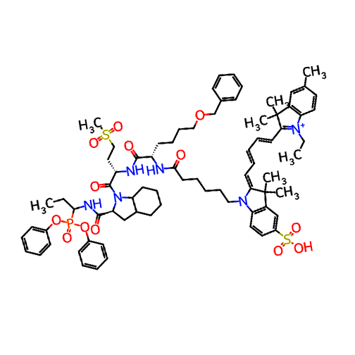 CCC(NC(=O)[C@@H]1CC2CCCCC2N1C(=O)[C@H](CCS(C)(=O)=O)NC(=O)[C@H](CCCCOCc1ccccc1)NC(=O)CCCCCN1/C(=C/C=C/C=C/C2=[N+](CC)c3ccc(C)cc3C2(C)C)C(C)(C)c2cc(S(=O)(=O)O)ccc21)P(=O)(Oc1ccccc1)Oc1ccccc1